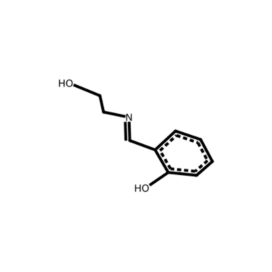 OCC/N=C/c1ccccc1O